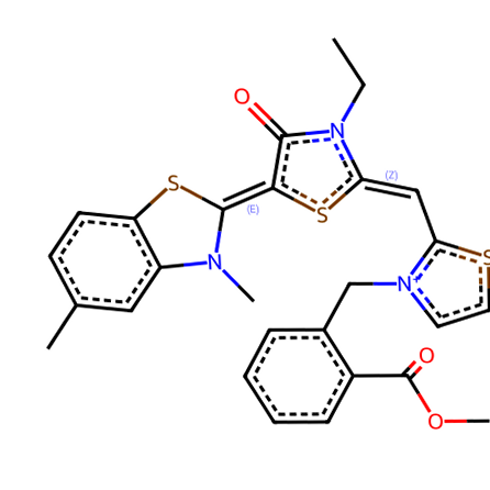 CCn1c(=O)/c(=C2\Sc3ccc(C)cc3N2C)s/c1=C\c1scc[n+]1Cc1ccccc1C(=O)OC